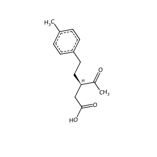 CC(=O)[C@H](CCc1ccc(C)cc1)CC(=O)O